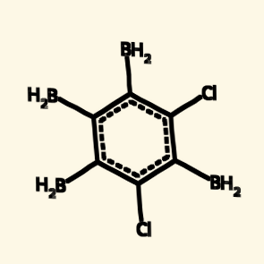 Bc1c(B)c(Cl)c(B)c(Cl)c1B